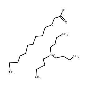 CCCCCCCCCCSCC(=O)[O-].CCC[CH2][Sn+]([CH2]CCC)[CH2]CCC